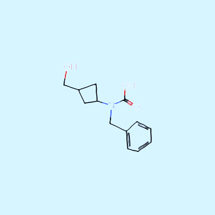 O=C(O)N(Cc1ccccc1)C1CC(CO)C1